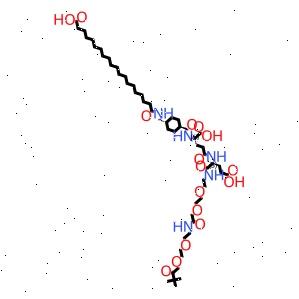 CC(C)(C)C(=O)COCCOCCNC(=O)COCCOCCNC(=O)[C@H](CCC(=O)O)NC(=O)CC[C@H](NC(=O)[C@H]1CC[C@H](CNC(=O)CCCCCCCCCCCCCCCCCCC(=O)O)CC1)C(=O)O